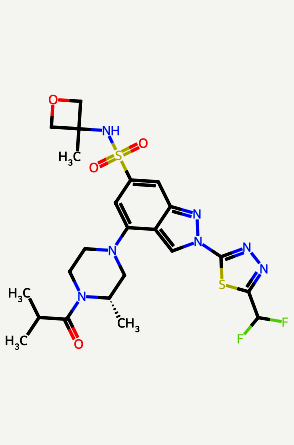 CC(C)C(=O)N1CCN(c2cc(S(=O)(=O)NC3(C)COC3)cc3nn(-c4nnc(C(F)F)s4)cc23)C[C@@H]1C